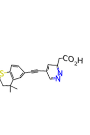 CC1(C)CCSc2ccc(C#Cc3cnnc(CC(=O)O)c3)cc21